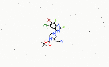 CC(C)(C)OC(=O)N1CCN(c2nc(F)nc3c(F)c(Br)c(Cl)cc23)C[C@@H]1CC#N